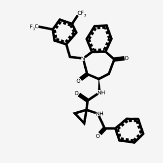 O=C(NC1(C(=O)N[C@@H]2CC(=O)c3ccccc3N(Cc3cc(C(F)(F)F)cc(C(F)(F)F)c3)C2=O)CC1)c1ccccc1